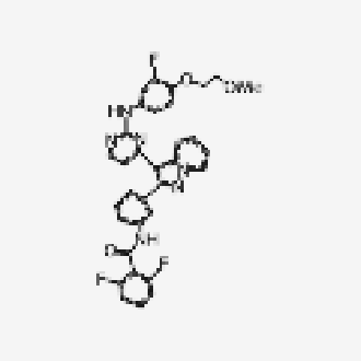 COCCOc1ccc(Nc2nccc(-c3c(-c4cccc(NC(=O)c5c(F)cccc5F)c4)nn4ccccc34)n2)cc1F